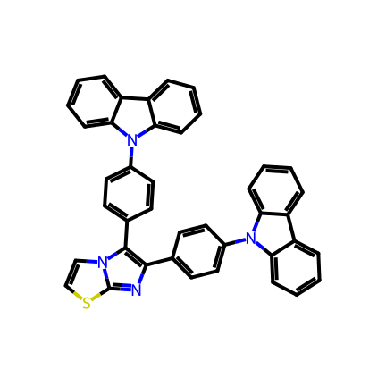 c1ccc2c(c1)c1ccccc1n2-c1ccc(-c2nc3sccn3c2-c2ccc(-n3c4ccccc4c4ccccc43)cc2)cc1